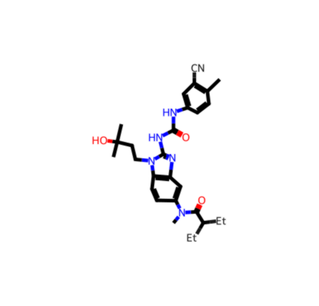 CCC(CC)C(=O)N(C)c1ccc2c(c1)nc(NC(=O)Nc1ccc(C)c(C#N)c1)n2CCC(C)(C)O